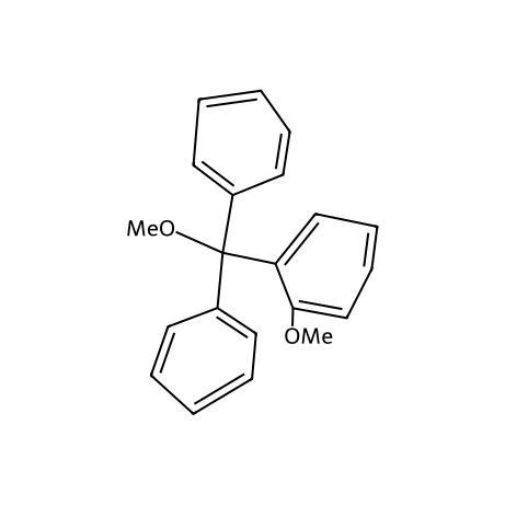 COc1ccccc1C(OC)(c1ccccc1)c1ccccc1